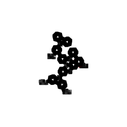 CC(C)(C)c1cc2c3c(c1)N(c1ccccc1-c1ccccc1)c1cc(-c4cc(-n5c6ccccc6c6ccccc65)ccc4C#N)ccc1B3c1ccc(-n3c4ccc(C(C)(C)C)cc4c4cc(C(C)(C)C)ccc43)cc1S2